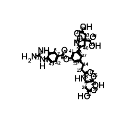 N=C(N)Nc1ccc(C(=O)Oc2cc(CCC(=O)N[C@@H](CC(=O)O)C(=O)O)cc(C3=NOC(CC(=O)O)(C(=O)O)C3)c2)cc1